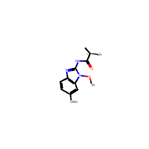 COc1ccc2nc(NC(=O)[C@@H](C)C(C)C)n(OC(C)C)c2c1